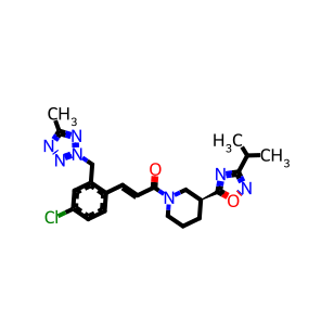 Cc1nnn(Cc2cc(Cl)ccc2/C=C/C(=O)N2CCC[C@H](c3nc(C(C)C)no3)C2)n1